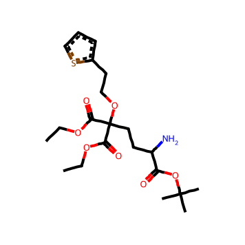 CCOC(=O)C(CCC(N)C(=O)OC(C)(C)C)(OCCc1cccs1)C(=O)OCC